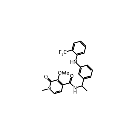 COc1c(C(=O)NC(C)c2cccc(Nc3ccccc3C(F)(F)F)c2)ccn(C)c1=O